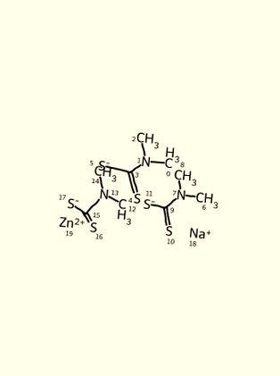 CN(C)C(=S)[S-].CN(C)C(=S)[S-].CN(C)C(=S)[S-].[Na+].[Zn+2]